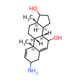 C[C@]12C=CC(N)CC1=CC(O)[C@@H]1[C@H]2CC[C@]2(C)C(O)CC[C@@H]12